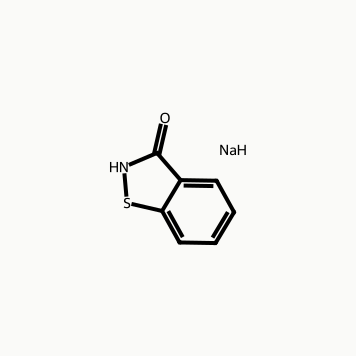 O=c1[nH]sc2ccccc12.[NaH]